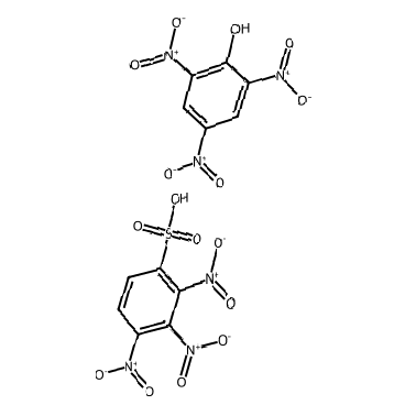 O=[N+]([O-])c1cc([N+](=O)[O-])c(O)c([N+](=O)[O-])c1.O=[N+]([O-])c1ccc(S(=O)(=O)O)c([N+](=O)[O-])c1[N+](=O)[O-]